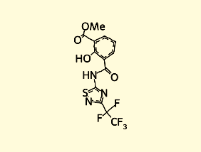 COC(=O)c1cccc(C(=O)Nc2nc(C(F)(F)C(F)(F)F)ns2)c1O